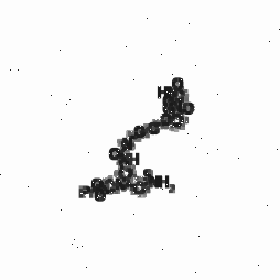 CC(C)S(=O)(=O)N1CCC(n2cc(-c3cccc(C(N)=S)c3)c3ccc(CNC(=O)C4CN(CCOCCOCCOc5cccc6c5C(=O)N(C5CCC(=O)NC5=O)C6=O)C4)cc32)CC1